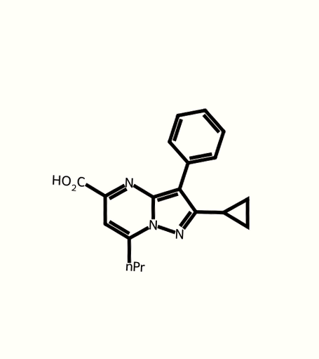 CCCc1cc(C(=O)O)nc2c(-c3ccccc3)c(C3CC3)nn12